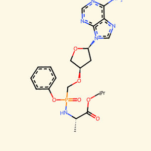 CC(C)OC(=O)[C@H](C)NP(=O)(CO[C@H]1CO[C@@H](n2cnc3c(N)ncnc32)C1)Oc1ccccc1